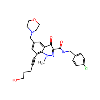 Cn1nc(C(=O)NCc2ccc(Cl)cc2)c(=O)c2cc(CN3CCOCC3)cc(C#CCCCO)c21